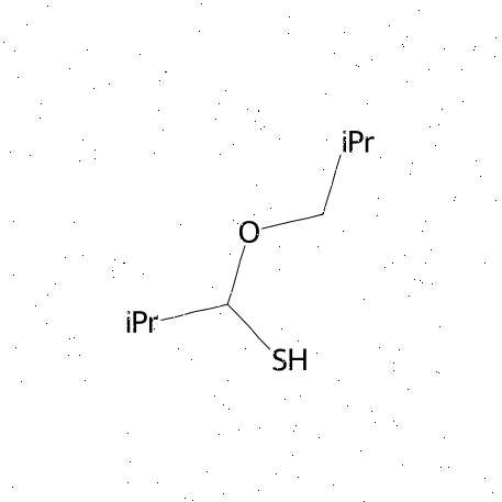 CC(C)COC(S)C(C)C